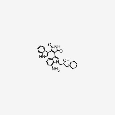 Nc1cccc2c(C3=C(c4c[nH]c5ccccc45)C(=O)NC3=O)cn(CC(O)CN3CCCCC3)c12